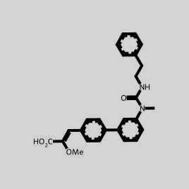 CO/C(=C\c1ccc(-c2cccc(N(C)C(=O)NCCc3ccccc3)c2)cc1)C(=O)O